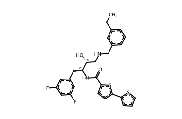 CCc1cccc(CNC[C@@H](O)[C@H](Cc2cc(F)cc(F)c2)NC(=O)c2ccc(-c3cccs3)s2)c1